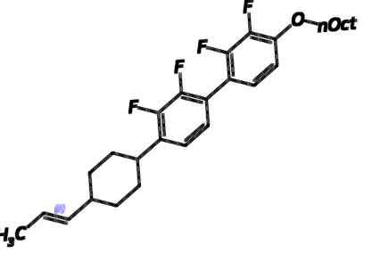 C/C=C/C1CCC(c2ccc(-c3ccc(OCCCCCCCC)c(F)c3F)c(F)c2F)CC1